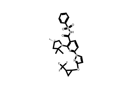 C[C@@H]1CN(c2nc(-n3ccc(OC4CC4C(F)(F)F)n3)ccc2C(=O)NS(=O)(=O)c2ccccc2)C(C)(C)C1